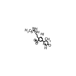 CSC(=N)NCCCc1ccc(C2=NNC(=O)CC2C)cc1[N+](=O)[O-].I